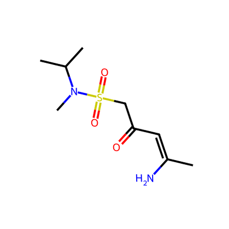 CC(N)=CC(=O)CS(=O)(=O)N(C)C(C)C